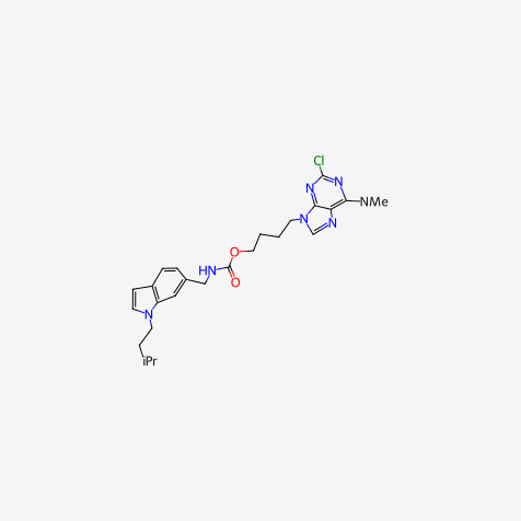 CNc1nc(Cl)nc2c1ncn2CCCCOC(=O)NCc1ccc2ccn(CCC(C)C)c2c1